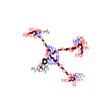 CC(=O)NC1C(OCCOCCOCCNC(=O)CCC(NC(=O)[C@H]2CC[C@@H](OC(C)(C)C)CC2)C(=O)N(CC(=O)NCCOCCOCCOC2OC(CO)C(O)C(O)C2NC(C)=O)CC(=O)NCCOCCOCCOC2OC(CO)C(O)C(O)C2NC(C)=O)OC(CO)C(O)C1O